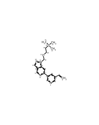 C=Cc1cncc(-c2cc3c(cn2)cnn3COCCS(C)(C)C)c1